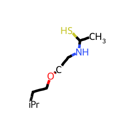 CC(C)CCOCCNC(C)S